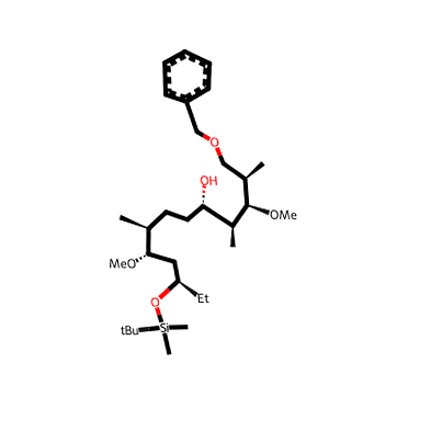 CC[C@H](C[C@H](OC)[C@@H](C)CC[C@H](O)[C@H](C)[C@H](OC)[C@H](C)COCc1ccccc1)O[Si](C)(C)C(C)(C)C